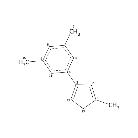 CC1=CC(c2cc(C)cc(C)c2)=C[CH]1